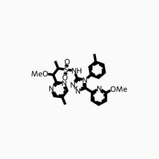 COc1cccc(-c2nnc(NS(=O)(=O)C(C)C(OC)c3ncc(C)cn3)n2-c2cccc(C)c2)n1